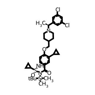 C[C@@H](c1cc(Cl)cc(Cl)c1)N1CCC(COc2ccc(C(=O)N([Si](C)(C)C(C)(C)C)S(=N)(=O)C3CC3)cc2C2CC2)CC1